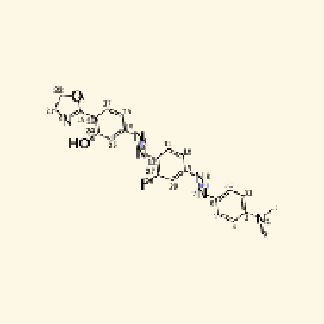 CN(C)c1ccc(/N=N/c2ccc(/N=N/c3ccc(C4=NCCO4)c(O)c3)c(F)c2)cc1